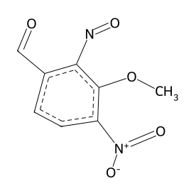 COc1c([N+](=O)[O-])ccc(C=O)c1N=O